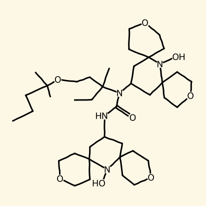 CCCC(C)(C)OCCC(C)(CC)N(C(=O)NC1CC2(CCOCC2)N(O)C2(CCOCC2)C1)C1CC2(CCOCC2)N(O)C2(CCOCC2)C1